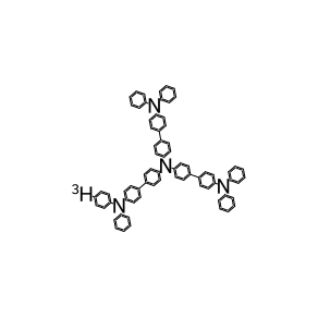 [3H]c1ccc(N(c2ccccc2)c2ccc(-c3ccc(N(c4ccc(-c5ccc(N(c6ccccc6)c6ccccc6)cc5)cc4)c4ccc(-c5ccc(N(c6ccccc6)c6ccccc6)cc5)cc4)cc3)cc2)cc1